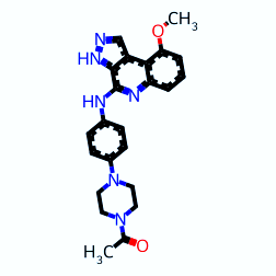 COc1cccc2nc(Nc3ccc(N4CCN(C(C)=O)CC4)cc3)c3[nH]ncc3c12